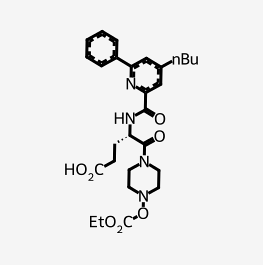 CCCCc1cc(C(=O)N[C@@H](CCC(=O)O)C(=O)N2CCN(OC(=O)OCC)CC2)nc(-c2ccccc2)c1